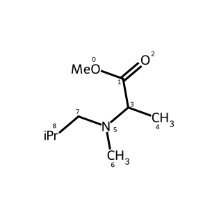 COC(=O)C(C)N(C)CC(C)C